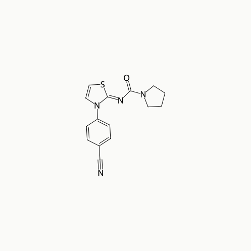 N#Cc1ccc(-n2ccs/c2=N\C(=O)N2CCCC2)cc1